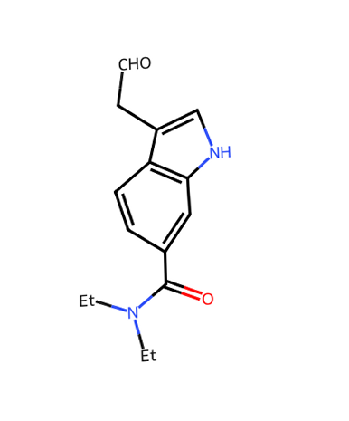 CCN(CC)C(=O)c1ccc2c(CC=O)c[nH]c2c1